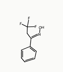 O/N=C(\CC(F)(F)F)c1ccccc1